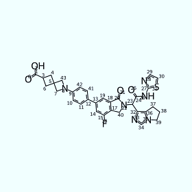 O=C(O)C1CC2(C1)CN(c1ccc(-c3cc(F)c4c(c3)C(=O)N(C(C(=O)Nc3nccs3)c3ncn5c3CCC5)C4)cc1)C2